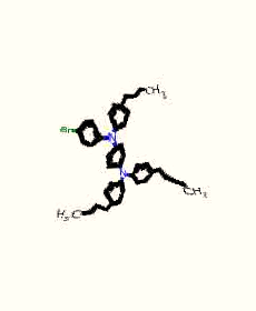 CCCCc1ccc(N(c2ccc(Br)cc2)c2ccc(N(c3ccc(CCCC)cc3)c3ccc(CCCC)cc3)cc2)cc1